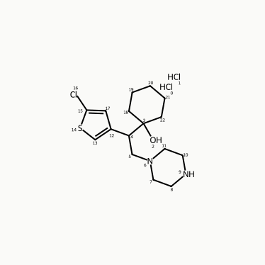 Cl.Cl.OC1(C(CN2CCNCC2)c2csc(Cl)c2)CCCCC1